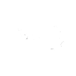 CCCCC/C=C\C/C=C\CCCCCCCC(=O)OC(O)CC